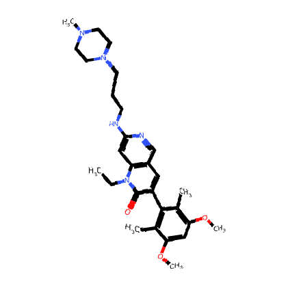 CCn1c(=O)c(-c2c(C)c(OC)cc(OC)c2C)cc2cnc(NCCCN3CCN(C)CC3)cc21